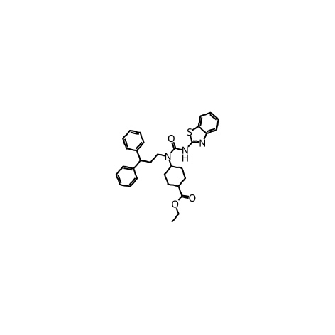 CCOC(=O)C1CCC(N(CCC(c2ccccc2)c2ccccc2)C(=O)Nc2nc3ccccc3s2)CC1